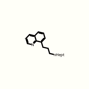 CCCCCCCCCCc1cccc2c[c]cnc12